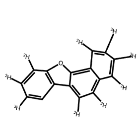 [2H]c1cc2c(oc3c4c([2H])c([2H])c([2H])c([2H])c4c([2H])c([2H])c23)c([2H])c1[2H]